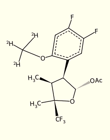 [2H]C([2H])([2H])Oc1cc(F)c(F)cc1[C@H]1[C@H](OC(C)=O)O[C@@](C)(C(F)(F)F)[C@H]1C